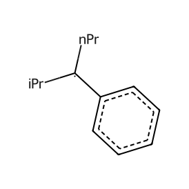 CCC[C](c1ccccc1)C(C)C